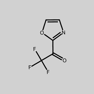 O=C(c1ncco1)C(F)(F)F